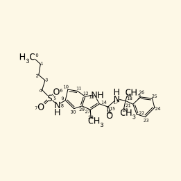 CCCCCS(=O)(=O)Nc1ccc2[nH]c(C(=O)NC(C)(C)c3ccccc3)c(C)c2c1